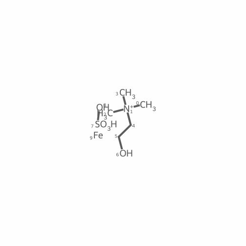 C[N+](C)(C)CCO.O=S(=O)(O)O.[Fe]